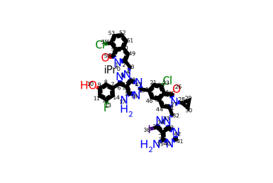 CC(C)n1c(Cn2nc(-c3cc(O)cc(F)c3)c3c(N)nc(-c4cc(Cl)c5c(=O)n(C6CC6)c(Cn6nc(I)c7c(N)ncnc76)cc5c4)nc32)cc2cccc(Cl)c2c1=O